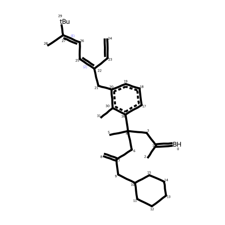 B=C(C)CC(C)(CC(=C)CC1CCCCC1)c1cccc(C/C(C=C)=C/C=C(\C)C(C)(C)C)c1C